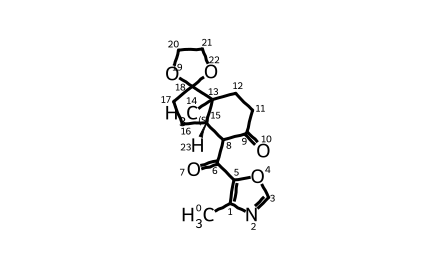 Cc1ncoc1C(=O)C1C(=O)CCC2(C)[C@H]1CCC21OCCO1